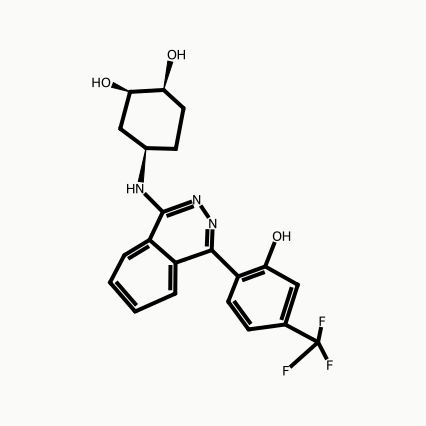 Oc1cc(C(F)(F)F)ccc1-c1nnc(N[C@@H]2CC[C@H](O)[C@H](O)C2)c2ccccc12